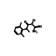 CCN(C(=N)N)C(=O)N(C)c1c(C)cccc1C